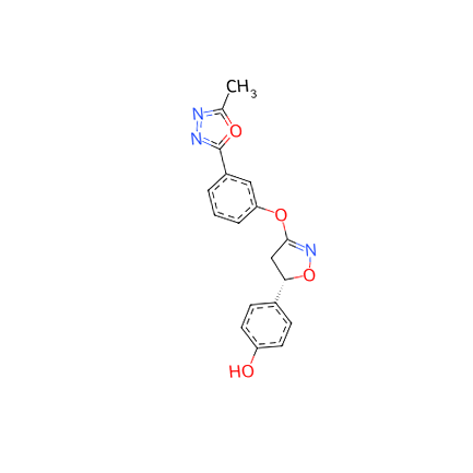 Cc1nnc(-c2cccc(OC3=NO[C@H](c4ccc(O)cc4)C3)c2)o1